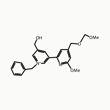 COCOCc1cc(OC)nc(-c2cc(CO)c[n+](Cc3ccccc3)c2)c1